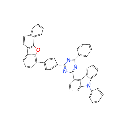 c1ccc(-c2nc(-c3ccc(-c4cccc5c4oc4c6ccccc6ccc54)cc3)nc(-c3cccc4c3c3ccccc3n4-c3ccccc3)n2)cc1